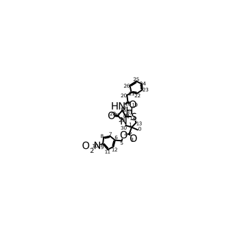 CC1(C(=O)OCc2ccc([N+](=O)[O-])cc2)CS[C@@H]2C(NC(=O)Cc3ccccc3)C(=O)N2C1